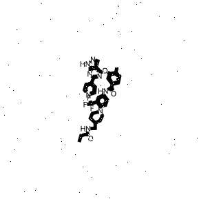 CCC(=O)NCC1CCN(c2ccc(NC(=O)c3ccc(C)c(Oc4nc(-c5ccncc5)nc5[nH]ncc45)c3)cc2C(F)(F)F)CC1